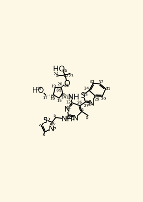 Cc1nc(NCc2nccs2)nc(N[C@@H]2C[C@H](CO)C[C@H]2OC(C)(C)O)c1-c1nc2ccccc2s1